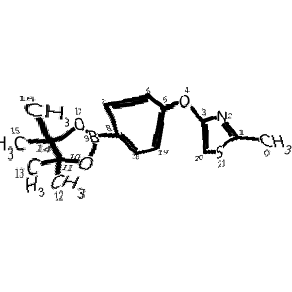 Cc1nc(Oc2ccc(B3OC(C)(C)C(C)(C)O3)cc2)cs1